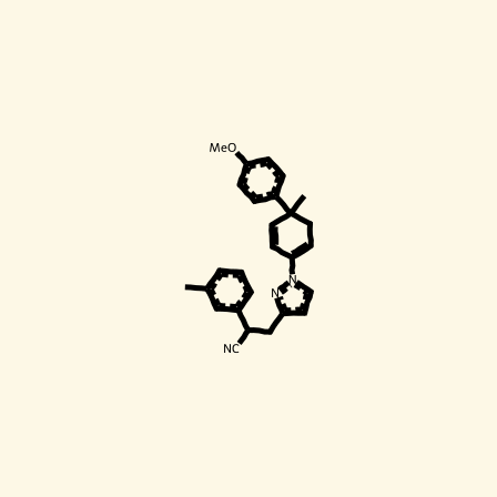 COc1ccc(C2(C)C=CC(n3ccc(CC(C#N)c4cccc(C)c4)n3)=CC2)cc1